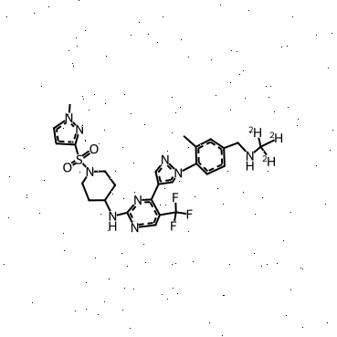 [2H]C([2H])([2H])NCc1ccc(-n2cc(-c3nc(NC4CCN(S(=O)(=O)c5ccn(C)n5)CC4)ncc3C(F)(F)F)cn2)c(C)c1